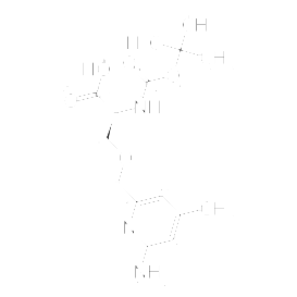 Cc1cc(N)nc(COC[C@H](NC(=O)OC(C)(C)C)C(=O)O)c1